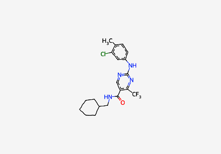 Cc1ccc(Nc2ncc(C(=O)NCC3CCCCC3)c(C(F)(F)F)n2)cc1Cl